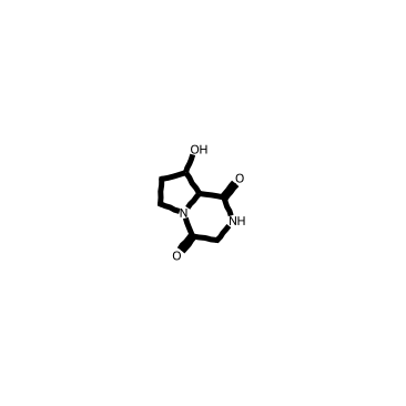 O=C1NCC(=O)N2CCC(O)C12